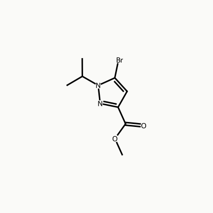 COC(=O)c1cc(Br)n(C(C)C)n1